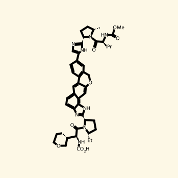 CC[C@H]1CC[C@@H](c2nc3ccc4cc5c(cc4c3[nH]2)OCc2cc(-c3cnc([C@@H]4CC[C@H](C)N4C(=O)[C@@H](NC(=O)OC)C(C)C)[nH]3)ccc2-5)N1C(=O)[C@@H](NC(=O)O)[C@H]1CCCOC1